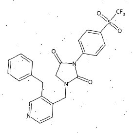 O=C1CN(Cc2ccncc2Cc2ccccc2)C(=O)N1c1ccc(S(=O)(=O)C(F)(F)F)cc1